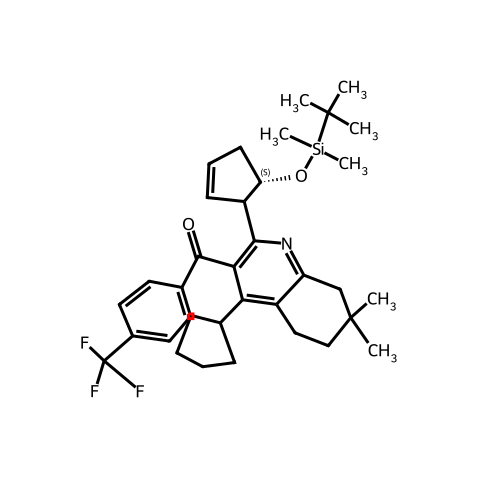 CC1(C)CCc2c(nc(C3C=CC[C@@H]3O[Si](C)(C)C(C)(C)C)c(C(=O)c3ccc(C(F)(F)F)cc3)c2C2CCCC2)C1